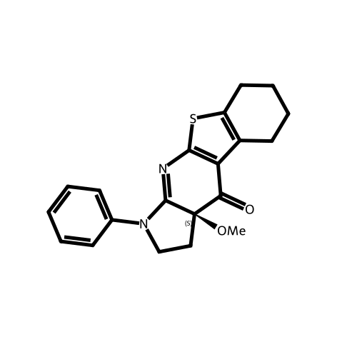 CO[C@@]12CCN(c3ccccc3)C1=Nc1sc3c(c1C2=O)CCCC3